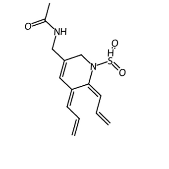 C=C/C=C1/C=C(CNC(C)=O)CN([SH](=O)=O)/C1=C/C=C